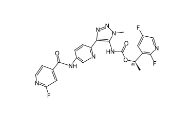 C[C@@H](OC(=O)Nc1c(-c2ccc(NC(=O)c3ccnc(F)c3)cn2)nnn1C)c1cc(F)cnc1F